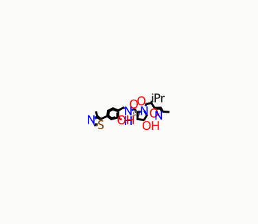 Cc1cc(C(C(=O)N2CC(O)C[C@H]2C(=O)NCc2ccc(-c3scnc3C)cc2O)C(C)C)on1